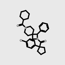 O=C(C1CCCCC1)N1CCC2(CC1)CN(C(=O)C1(c3ccc(Cl)cc3)CCCC1)C2c1ccccc1